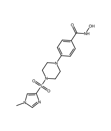 Cn1cnc(S(=O)(=O)N2CCN(c3ccc(C(=O)NO)cc3)CC2)c1